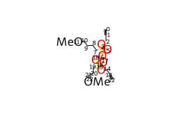 C#CCOS(=O)(=O)CCCCOC.C#CCOS(=O)(=O)CCCOC